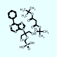 CC(C)(C)OC(=O)CC(=O)OC(C)(C)C.CCC(CO)(OCP(=O)(O)O)n1cnc2c(-c3ccccc3)ncnc21